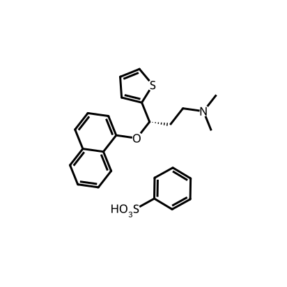 CN(C)CC[C@H](Oc1cccc2ccccc12)c1cccs1.O=S(=O)(O)c1ccccc1